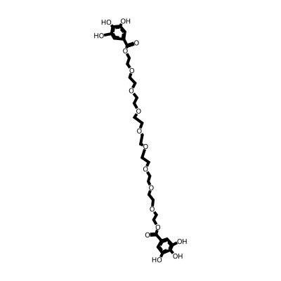 O=C(OCCOCCOCCOCCOCCOCCOCCOCCOCCOC(=O)c1cc(O)c(O)c(O)c1)c1cc(O)c(O)c(O)c1